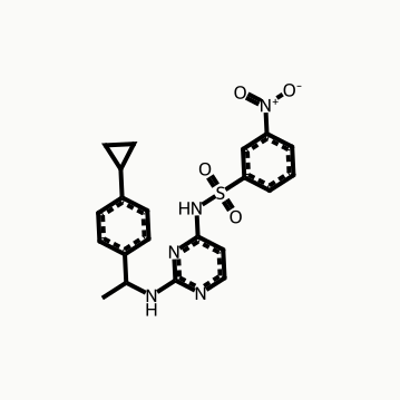 CC(Nc1nccc(NS(=O)(=O)c2cccc([N+](=O)[O-])c2)n1)c1ccc(C2CC2)cc1